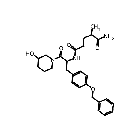 CC(C[CH]C(=O)NC(Cc1ccc(OCc2ccccc2)cc1)C(=O)N1CCCC(O)C1)C(N)=O